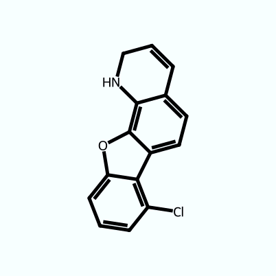 Clc1cccc2oc3c4c(ccc3c12)C=CCN4